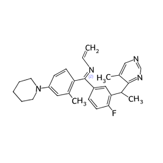 C=C/N=C(/c1ccc(F)c(C(C)c2ncncc2C)c1)c1ccc(N2CCCCC2)cc1C